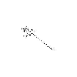 CCCCCCCCCCCCC/C=C/C(OC(C)=O)C(N)COP(=O)(O)O